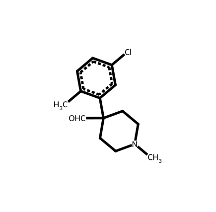 Cc1ccc(Cl)cc1C1(C=O)CCN(C)CC1